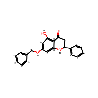 O=C1C[C@@H](c2ccccc2)Oc2cc(OCc3ccccc3)cc(O)c21